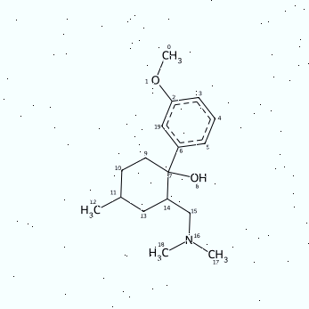 COc1cccc(C2(O)CCC(C)CC2CN(C)C)c1